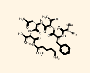 CC[C@H](C)[C@H](N)C(=O)N[C@@H](Cc1ccccc1)C(=O)N[C@H](C(=O)N[C@@H](CC(N)=O)C(=O)N[C@H](C(=O)N[C@@H](CCCCN)C(=O)O)[C@@H](C)O)[C@@H](C)O